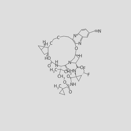 CC(C)(C)[C@@H]1NC(=O)O[C@@H]2CC3C[C@@H]3[C@H]2CCCCCc2nc3ccc(C#N)cc3nc2O[C@@H]2C[C@@H](C(=O)N[C@]3(C(=O)NS(=O)(=O)C4(C)CC4)C[C@H]3C(F)F)N(C2)C1=O